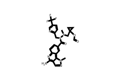 CN(CC1(OC=O)CC1)N(Cc1ccc(C(F)(F)F)cn1)C(=O)c1ccc2nc(N)c3cnn(C)c3c2c1